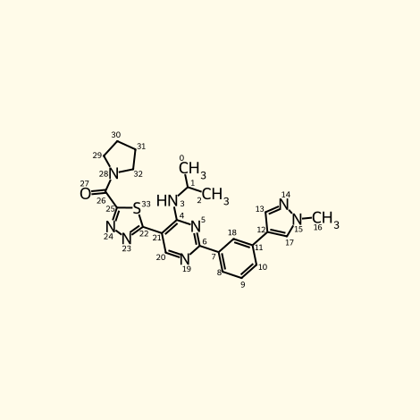 CC(C)Nc1nc(-c2cccc(-c3cnn(C)c3)c2)ncc1-c1nnc(C(=O)N2CCCC2)s1